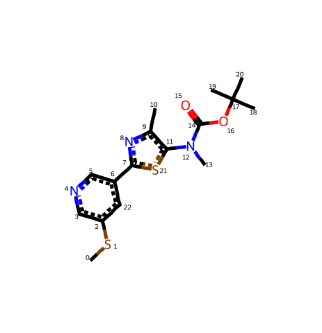 CSc1cncc(-c2nc(C)c(N(C)C(=O)OC(C)(C)C)s2)c1